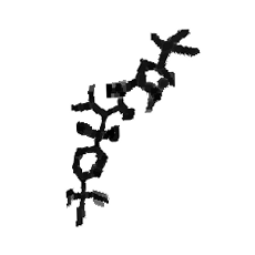 CC(C)C(C(=O)Nc1cc(C(C)(C)C)nn1C)S(=O)(=O)c1ccc(C(F)(F)F)cc1